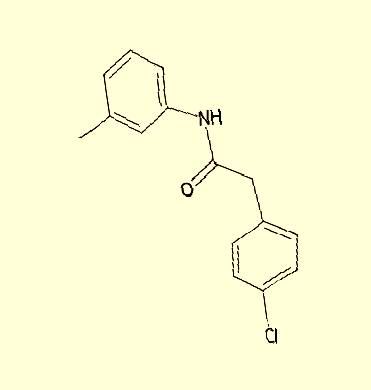 Cc1cccc(NC(=O)Cc2ccc(Cl)cc2)c1